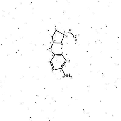 Nc1ccc(O[C@H]2CC[C@H](CO)C2)cc1